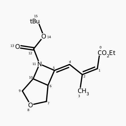 CCOC(=O)/C=C(C)\C=C1/C2COCC2N1C(=O)OC(C)(C)C